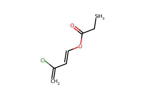 C=C(Cl)C=COC(=O)C[SiH3]